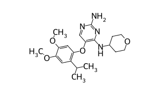 COc1cc(Oc2cnc(N)nc2NC2CCOCC2)c(C(C)C)cc1OC